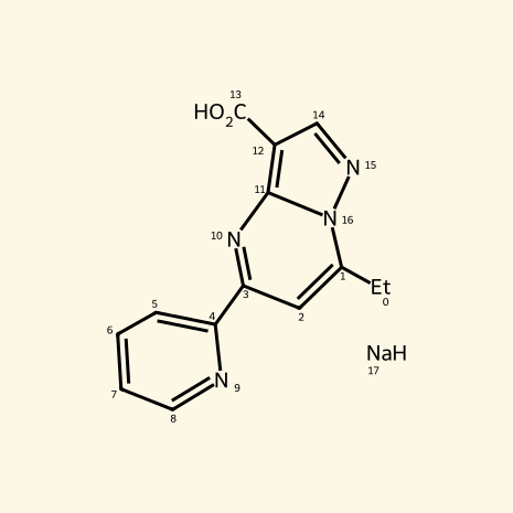 CCc1cc(-c2ccccn2)nc2c(C(=O)O)cnn12.[NaH]